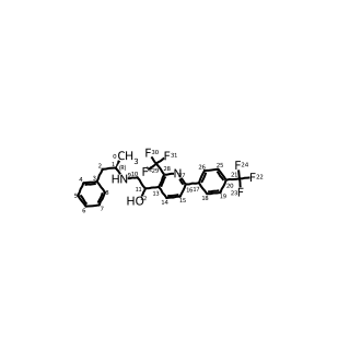 C[C@H](Cc1ccccc1)NCC(O)c1ccc(-c2ccc(C(F)(F)F)cc2)nc1C(F)(F)F